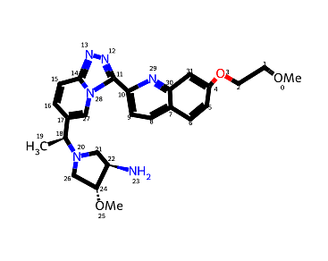 COCCOc1ccc2ccc(-c3nnc4ccc([C@H](C)N5C[C@@H](N)[C@H](OC)C5)cn34)nc2c1